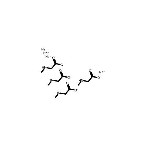 CNCC(=O)[O-].CNCC(=O)[O-].CNCC(=O)[O-].CNCC(=O)[O-].[Na+].[Na+].[Na+].[Na+]